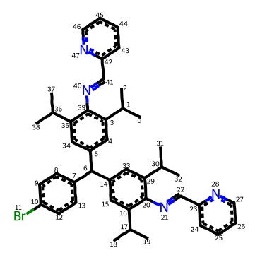 CC(C)c1cc(C(c2ccc(Br)cc2)c2cc(C(C)C)c(N=Cc3ccccn3)c(C(C)C)c2)cc(C(C)C)c1N=Cc1ccccn1